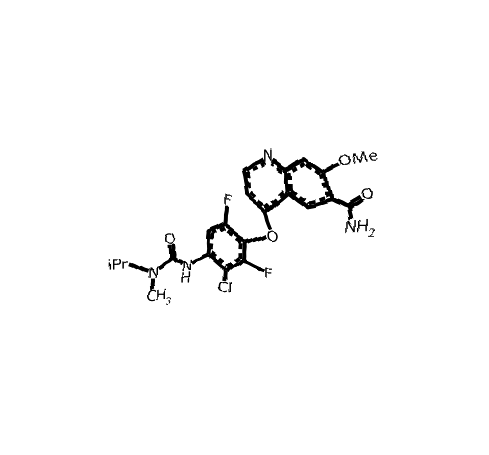 COc1cc2nccc(Oc3c(F)cc(NC(=O)N(C)C(C)C)c(Cl)c3F)c2cc1C(N)=O